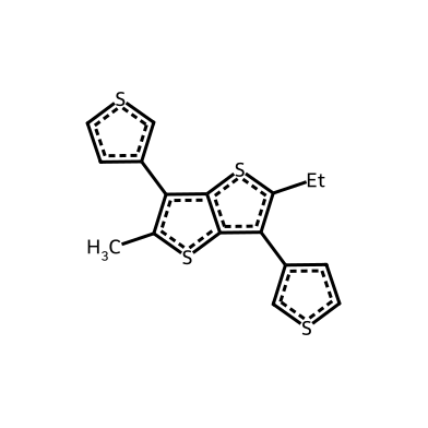 CCc1sc2c(-c3ccsc3)c(C)sc2c1-c1ccsc1